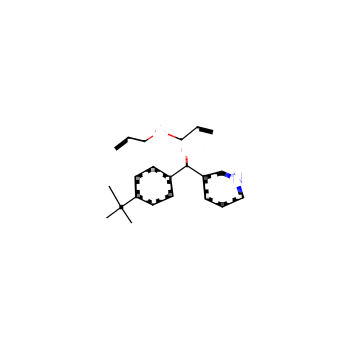 C=CCOCC=C.CC(C)(C)c1ccc(C(O)c2cccnc2)cc1